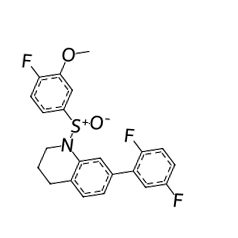 COc1cc([S+]([O-])N2CCCc3ccc(-c4cc(F)ccc4F)cc32)ccc1F